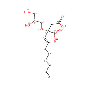 CCCCCCC=CC(CC(=O)O)(OCC(O)CO)C(=O)O